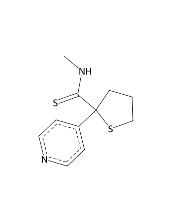 CNC(=S)C1(c2ccncc2)CCCS1